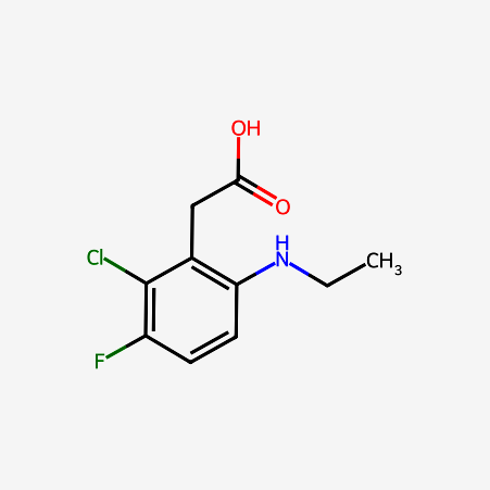 CCNc1ccc(F)c(Cl)c1CC(=O)O